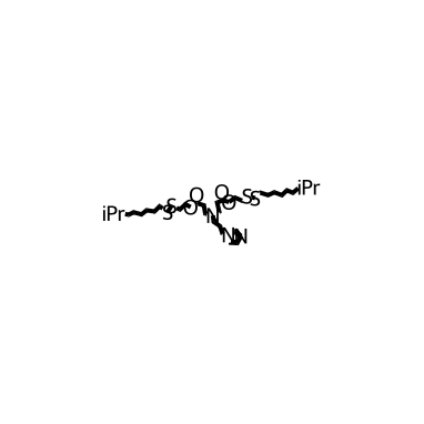 CC(C)CCCCCCSSCCOC(=O)CCN(CCCn1ccnc1)CCC(=O)OCCSSCCCCCCC(C)C